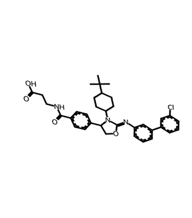 CC(C)(C)C1CCC(N2C(=Nc3cccc(-c4cccc(Cl)c4)c3)OCC2c2ccc(C(=O)NCCC(=O)O)cc2)CC1